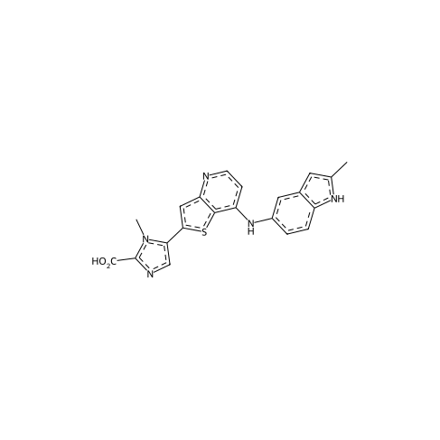 Cc1cc2cc(Nc3ccnc4cc(-c5cnc(C(=O)O)n5C)sc34)ccc2[nH]1